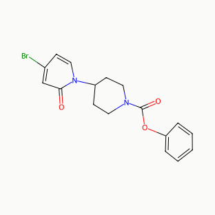 O=C(Oc1ccccc1)N1CCC(n2ccc(Br)cc2=O)CC1